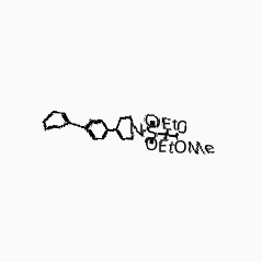 CCC(CC)(C(=O)OC)S(=O)(=O)N1CC=C(c2ccc(-c3ccccc3)cc2)CC1